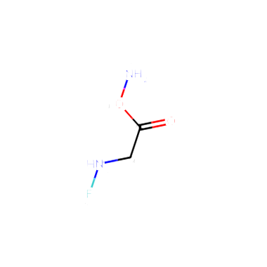 NOC(=O)CNF